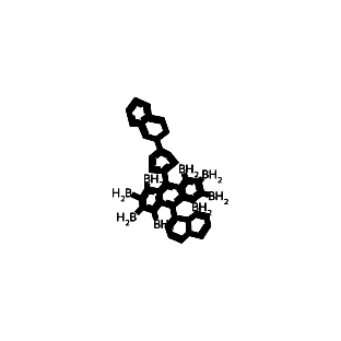 Bc1c(B)c(B)c2c(-c3ccc(C4C=c5ccccc5=CC4)cc3)c3c(B)c(B)c(B)c(B)c3c(C3=CC=CC4C=CC=CC34)c2c1B